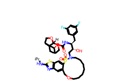 CC(C)Nc1nc2cc3c(cc2s1)S(=O)(=O)N(C[C@@H](O)[C@H](Cc1cc(F)cc(F)c1)NC(=O)O[C@H]1C2CO[C@H]4OCC1C4C2)CCCCCCCOC3